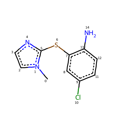 Cn1ccnc1Sc1cc(Cl)ccc1N